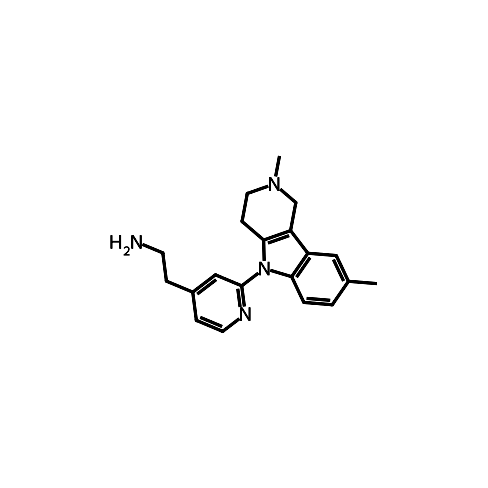 Cc1ccc2c(c1)c1c(n2-c2cc(CCN)ccn2)CCN(C)C1